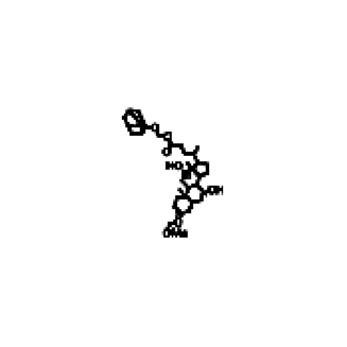 COCO[C@@H]1CC[C@@]2(C)C(C1)C[C@@H](O)C1C2C[C@H](O)[C@]2(C)C(C(C)CCC(=O)OCOC3C4CC5CC(C4)CC3C5)CCC12